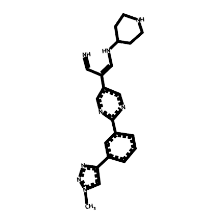 Cn1cc(-c2cccc(-c3ncc(/C(C=N)=C/NC4CCNCC4)cn3)c2)nn1